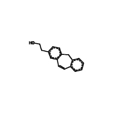 OCCc1ccc2c(c1)C=Cc1ccccc1C2